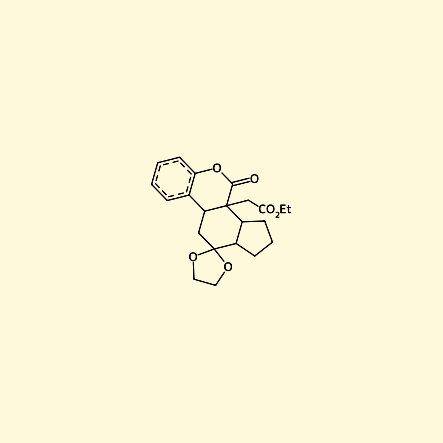 CCOC(=O)CC12C(=O)Oc3ccccc3C1CC1(OCCO1)C1CCCC12